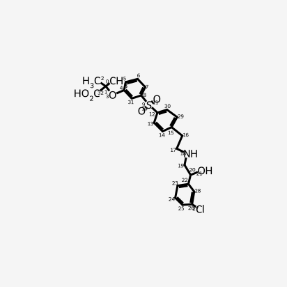 CC(C)(Oc1cccc(S(=O)(=O)c2ccc(CCNCC(O)c3cccc(Cl)c3)cc2)c1)C(=O)O